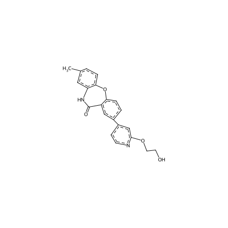 Cc1ccc2c(c1)NC(=O)c1cc(-c3ccnc(OCCO)c3)ccc1O2